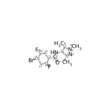 Cc1nn(C)c(C)c1N[S+]([O-])c1cc(F)c(Br)cc1F